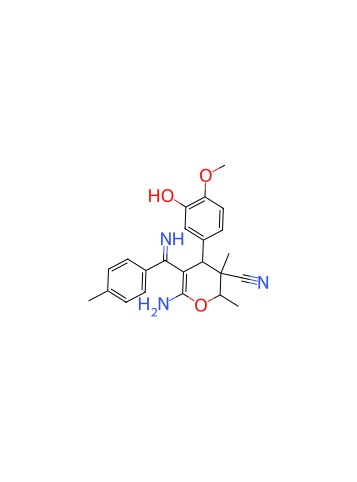 COc1ccc(C2C(C(=N)c3ccc(C)cc3)=C(N)OC(C)C2(C)C#N)cc1O